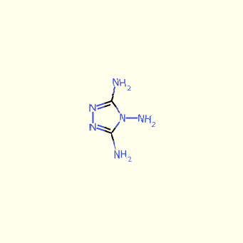 Nc1nnc(N)n1N